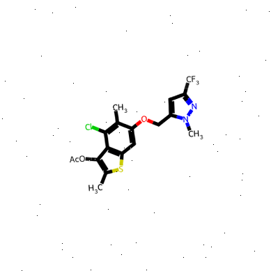 CC(=O)Oc1c(C)sc2cc(OCc3cc(C(F)(F)F)nn3C)c(C)c(Cl)c12